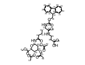 COC(=O)[C@H]1O[C@H](NC(=O)CCC[C@H](NC(=O)OCC2c3ccccc3-c3ccccc32)C(=O)NCCC(=O)O)[C@H](OC(C)=O)[C@@H](OC(C)=O)[C@@H]1OC(C)=O